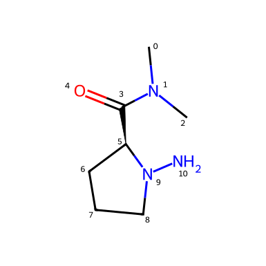 CN(C)C(=O)[C@@H]1CCCN1N